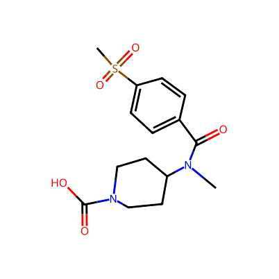 CN(C(=O)c1ccc(S(C)(=O)=O)cc1)C1CCN(C(=O)O)CC1